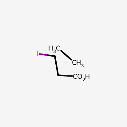 CC.O=C(O)CCI